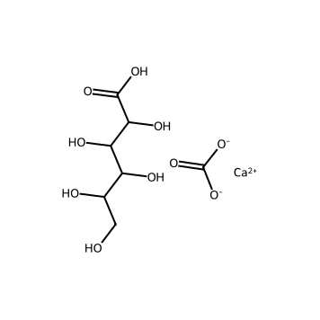 O=C(O)C(O)C(O)C(O)C(O)CO.O=C([O-])[O-].[Ca+2]